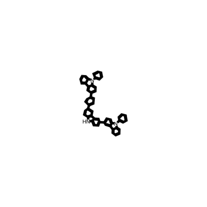 c1ccc(-n2c3ccccc3c3cc(-c4ccc(-c5ccc6[nH]c7ccc(-c8ccc9c(c8)c8ccccc8n9-c8ccccc8)cc7c6c5)cc4)ccc32)cc1